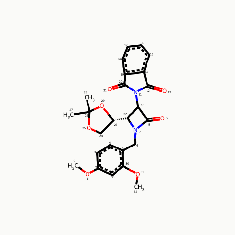 COc1ccc(CN2C(=O)C(N3C(=O)c4ccccc4C3=O)C2[C@@H]2COC(C)(C)O2)c(OC)c1